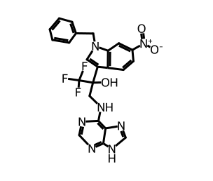 O=[N+]([O-])c1ccc2c(C(O)(CNc3ncnc4[nH]cnc34)C(F)(F)F)cn(Cc3ccccc3)c2c1